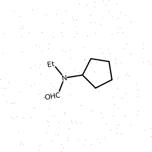 CCN([C]=O)C1CCCC1